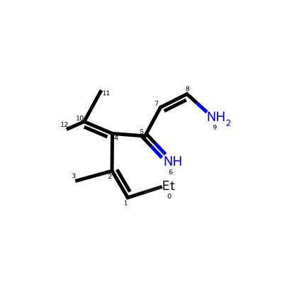 CC/C=C(/C)C(C(=N)/C=C\N)=C(C)C